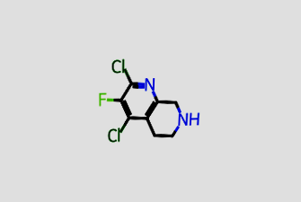 Fc1c(Cl)nc2c(c1Cl)CCNC2